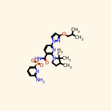 CC(C)COc1ccn(-c2ccc(C(=O)NS(=O)(=O)c3cccc(N)n3)c(N3CCC(C)C3(C)C)n2)n1